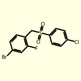 O=S(=O)(Cc1ccc(Br)cc1F)c1ccc(Cl)cc1